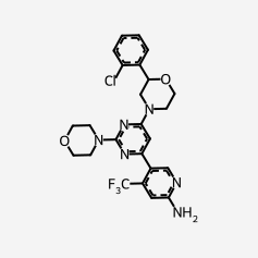 Nc1cc(C(F)(F)F)c(-c2cc(N3CCOC(c4ccccc4Cl)C3)nc(N3CCOCC3)n2)cn1